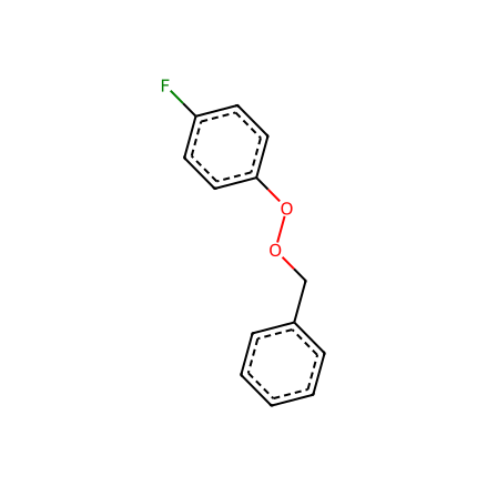 Fc1ccc(OOCc2ccccc2)cc1